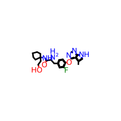 Cc1c[nH]c2ncnc(Oc3ccc(CC(N)C(=O)NC4(CCO)CCCCC4)cc3F)c12